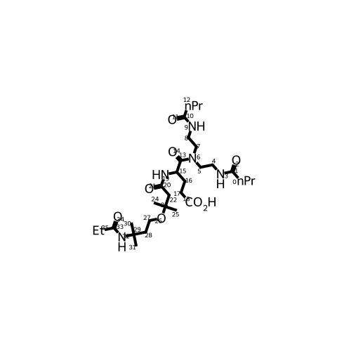 CCCC(=O)NCCN(CCNC(=O)CCC)C(=O)C(CCC(=O)O)NC(=O)CC(C)(C)OCCC(C)(C)NC(=O)CC